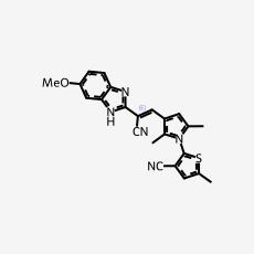 COc1ccc2nc(/C(C#N)=C/c3cc(C)n(-c4sc(C)cc4C#N)c3C)[nH]c2c1